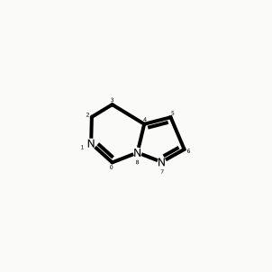 C1=NCCc2ccnn21